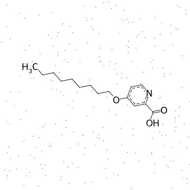 CCCCCCCCCOc1ccnc(C(=O)O)c1